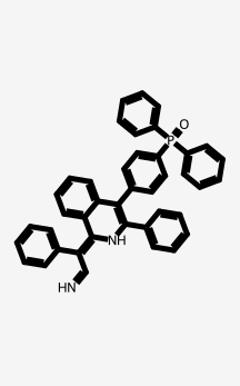 N=C/C(=C1\NC(c2ccccc2)=C(c2ccc(P(=O)(c3ccccc3)c3ccccc3)cc2)c2ccccc21)c1ccccc1